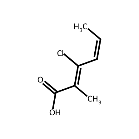 C/C=C\C(Cl)=C(/C)C(=O)O